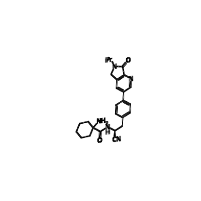 CC(C)N1Cc2cc(-c3ccc(C[C@@H](C#N)NC(=O)C4(N)CCCCC4)cc3)cnc2C1=O